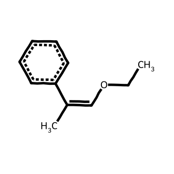 CCO/C=C(/C)c1ccccc1